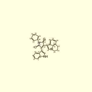 O=C1C(c2c[nH]c3ccccc23)=C(c2cn3c4c(cccc24)CCC3)C(=O)N1c1ccccc1